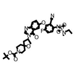 CCN(C)S(=O)(=O)Nc1ccc(F)c(Oc2ccc3ncn([C@H]4COC5(CCN(C(=O)OC(C)(C)C)CC5)C4)c(=O)c3c2)c1C#N